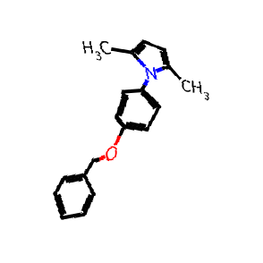 Cc1ccc(C)n1-c1ccc(OCc2ccccc2)cc1